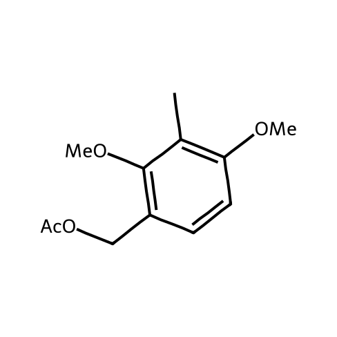 COc1ccc(COC(C)=O)c(OC)c1C